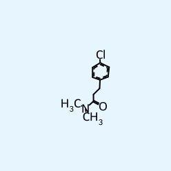 CN(C)C(=O)CCc1ccc(Cl)cc1